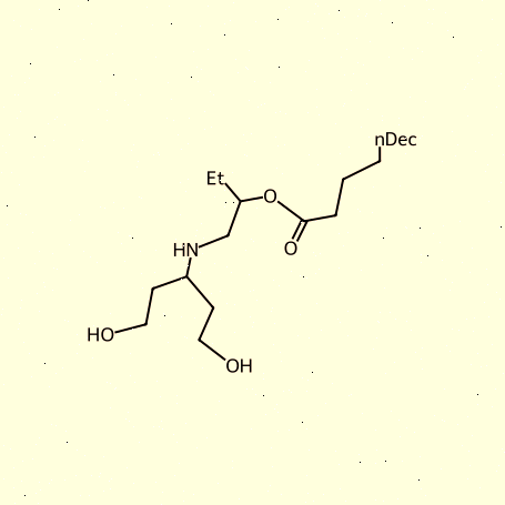 CCCCCCCCCCCCCC(=O)OC(CC)CNC(CCO)CCO